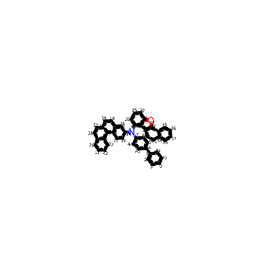 c1ccc(-c2ccc(N(c3ccc4c(ccc5ccc6ccccc6c54)c3)c3cccc4oc5c6ccccc6ccc5c34)cc2)cc1